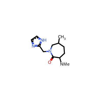 CNC1CCC(C)CN(Cc2ncc[nH]2)C1=O